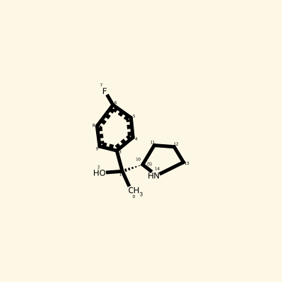 CC(O)(c1ccc(F)cc1)[C@@H]1CCCN1